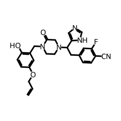 C=CCOc1ccc(O)c(CN2CCN(C(Cc3ccc(C#N)c(F)c3)c3cnc[nH]3)CC2=O)c1